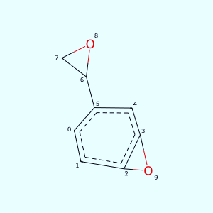 c1cc2c(cc1C1CO1)O2